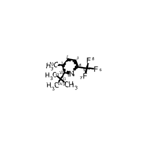 Cc1ccc(C(F)(F)F)nc1C(C)(C)C